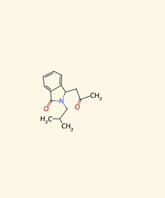 CC(=O)CC1c2ccccc2C(=O)N1CC(C)C